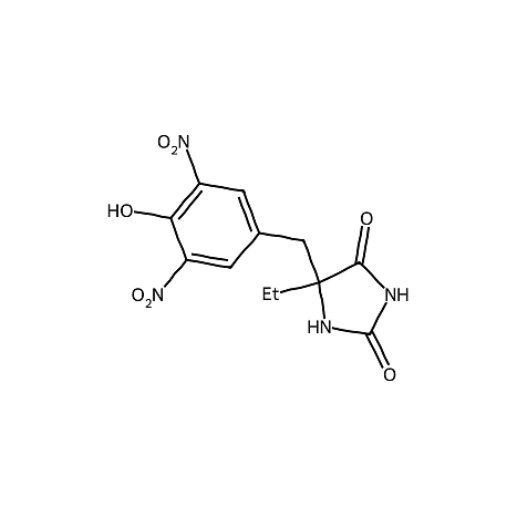 CCC1(Cc2cc([N+](=O)[O-])c(O)c([N+](=O)[O-])c2)NC(=O)NC1=O